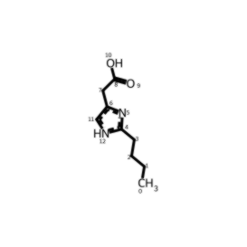 CCCCc1nc(CC(=O)O)c[nH]1